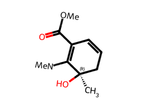 CNC1=C(C(=O)OC)C=CC[C@@]1(C)O